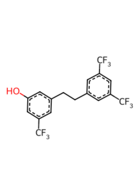 Oc1cc(CCc2cc(C(F)(F)F)cc(C(F)(F)F)c2)cc(C(F)(F)F)c1